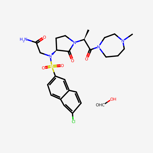 C[C@@H](C(=O)N1CCCN(C)CC1)N1CC[C@H](N(CC(N)=O)S(=O)(=O)c2ccc3cc(Cl)ccc3c2)C1=O.O=CO